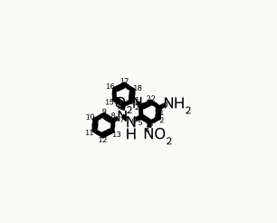 Nc1cc([N+](=O)[O-])c(NN(c2ccccc2)c2ccccc2)c([N+](=O)[O-])c1